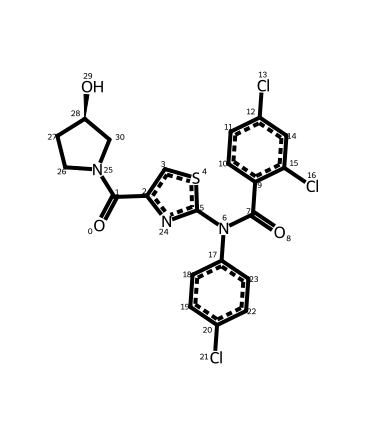 O=C(c1csc(N(C(=O)c2ccc(Cl)cc2Cl)c2ccc(Cl)cc2)n1)N1CC[C@@H](O)C1